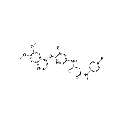 COc1cc2nccc(Oc3ncc(NC(=O)CC(=O)N(C)c4ccc(F)cc4)cc3F)c2cc1OC